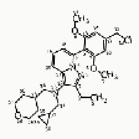 CCc1nn2c(-c3c(OC)cc(CCl)cc3OC)cccc2c1N(CC1CCOCC1)CC1CC1